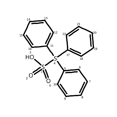 O=S(=O)(O)S(c1ccccc1)(c1ccccc1)c1ccccc1